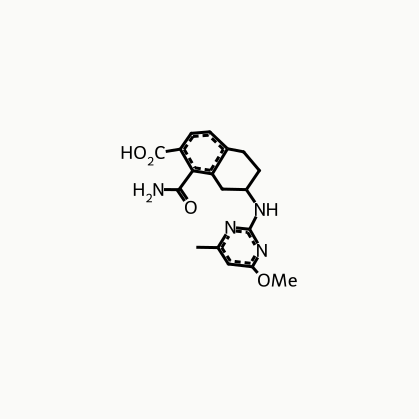 COc1cc(C)nc(NC2CCc3ccc(C(=O)O)c(C(N)=O)c3C2)n1